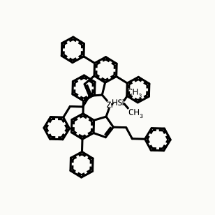 C[SiH](C)[Zr]([CH]1C(CCc2ccccc2)=Cc2c(-c3ccccc3)ccc(-c3ccccc3)c21)[CH]1C(CCc2ccccc2)=Cc2c(-c3ccccc3)ccc(-c3ccccc3)c21